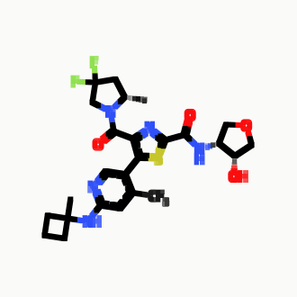 C[C@H]1CC(F)(F)CN1C(=O)c1nc(C(=O)N[C@@H]2COC[C@@H]2O)sc1-c1cnc(NC2(C)CCC2)cc1C(F)(F)F